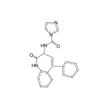 O=C1Nc2ccccc2C(c2ccccc2)=CC1NC(=O)n1ccnc1